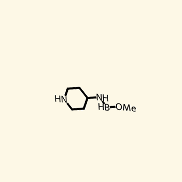 COBNC1CCNCC1